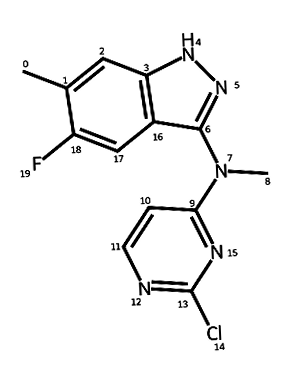 Cc1cc2[nH]nc(N(C)c3ccnc(Cl)n3)c2cc1F